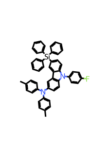 Cc1ccc(N(c2ccc(C)cc2)c2ccc3c(c2)c2cc([Si](c4ccccc4)(c4ccccc4)c4ccccc4)ccc2n3-c2ccc(F)cc2)cc1